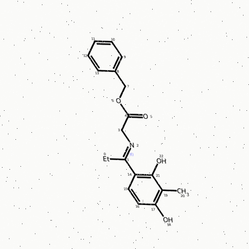 CC/C(=N\CC(=O)OCc1ccccc1)c1ccc(O)c(C)c1O